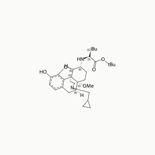 CC[C@H](C)[C@H](N[C@@H]1CC[C@@]2(OC)[C@H]3Cc4ccc(O)c5c4[C@@]2(CCN3CC2CC2)[C@H]1O5)C(=O)OC(C)(C)C